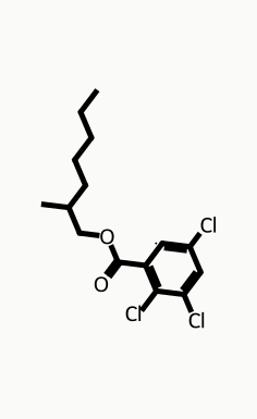 CCCCCC(C)COC(=O)c1[c]c(Cl)cc(Cl)c1Cl